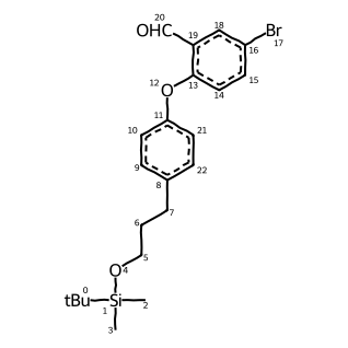 CC(C)(C)[Si](C)(C)OCCCc1ccc(Oc2ccc(Br)cc2C=O)cc1